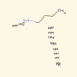 CCCCN.[HH].[HH].[HH].[HH].[HH].[HH].[HH].[HH].[HH].[HH].[HH]